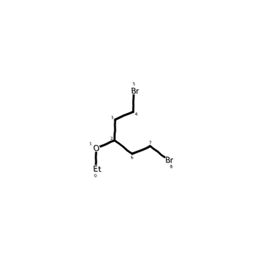 CCOC(CCBr)CCBr